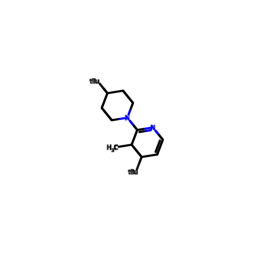 CC1C(N2CCC(C(C)(C)C)CC2)=NC=CC1C(C)(C)C